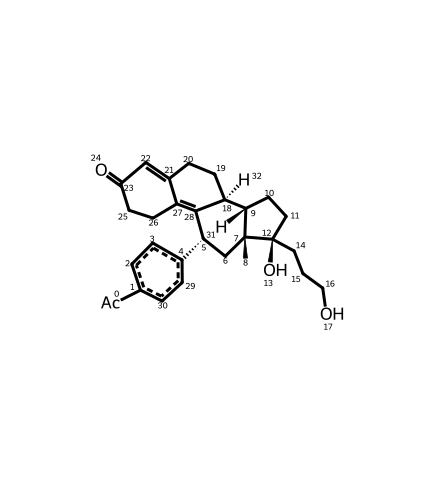 CC(=O)c1ccc([C@H]2C[C@]3(C)[C@@H](CC[C@]3(O)CCCO)[C@@H]3CCC4=CC(=O)CCC4=C32)cc1